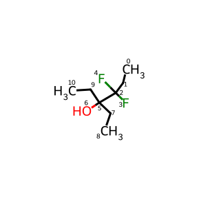 CCC(F)(F)C(O)(CC)CC